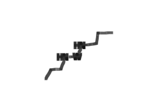 CCC[NH][W][NH]CCC